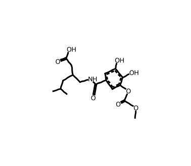 COC(=O)Oc1cc(C(=O)NCC(CC(=O)O)CC(C)C)cc(O)c1O